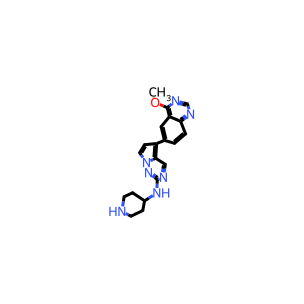 COc1ncnc2ccc(-c3ccn4nc(NC5CCNCC5)ncc34)cc12